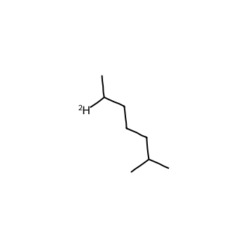 [2H]C(C)CCCC(C)C